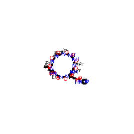 C/C=C/C[C@@H](C)[C@@H](O)[C@H]1C(=O)N[C@@H](CC)C(=O)N(C)[C@H](C)C(=O)N(C)[C@@H]([C@H](C)CCCOC(=O)NC2CCN(C)CC2)C(=O)N[C@@H](C(C)C)C(=O)N(C)[C@@H](CC(C)C)C(=O)N[C@@H](C)C(=O)N[C@H](C)C(=O)N(C)[C@@H](CC(C)C)C(=O)N(C)[C@@H](CC(C)C)C(=O)N(C)[C@@H](C(C)C)C(=O)N1C